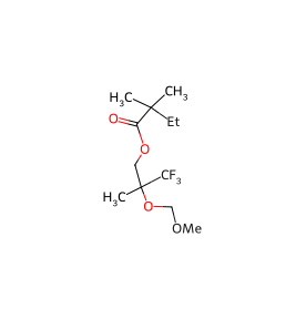 CCC(C)(C)C(=O)OCC(C)(OCOC)C(F)(F)F